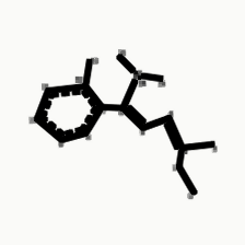 CCC(C)=C/C=C(/c1ccccc1C)N(C)C